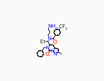 CCC(c1cc2cc(C)nn2c(=O)n1Cc1ccccc1)N(CCCN)C(=O)c1ccc(C(F)(F)F)cc1